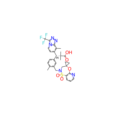 Cc1ccc([C@H](c2ccn3c(C(F)(F)F)nnc3c2C)C(C)(C)C(=O)O)cc1CN1CC2(CC2)Oc2ncccc2S1(=O)=O